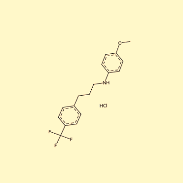 COc1ccc(NCCCc2ccc(C(F)(F)F)cc2)cc1.Cl